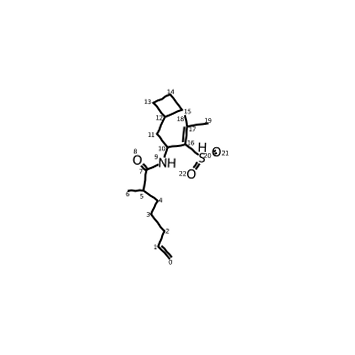 C=CCCCC(C)C(=O)NC(CC1CCC1)C(=C(C)C)[SH](=O)=O